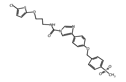 CS(=O)(=O)c1ccc(COc2ccc(-c3cn(C(=O)NCCCOc4ccc(Cl)s4)cn3)cc2)cc1